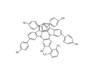 N#Cc1ccc(-c2ccc3c4ccc(-c5ccc(C#N)cc5)cc4n(-c4cc(C#N)c(-c5c(C(F)(F)F)cccc5C(F)(F)F)cc4-n4c5cc(-c6ccc(C#N)cc6)ccc5c5ccc(-c6ccc(C#N)cc6)cc54)c3c2)cc1